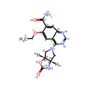 CCOc1cc2c(N3C[C@@H]4NC(=O)O[C@@H]4C3)ncnc2cc1C(N)=O